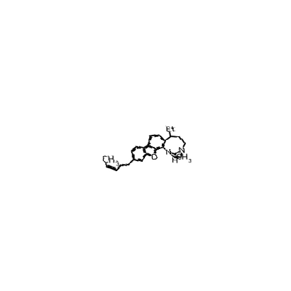 C/C=C\CCc1ccc2c(c1)oc1c3c(ccc12)C(CC)CCN1C=CN3[C@@H]1C